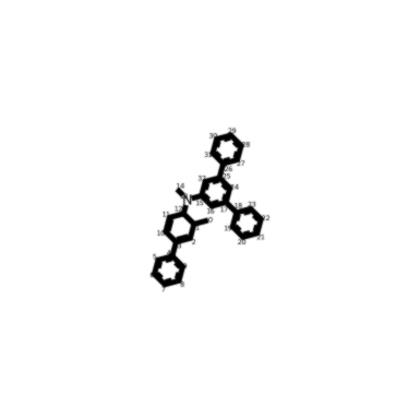 CC1C=C(c2ccccc2)C=CC1N(C)c1cc(-c2ccccc2)cc(-c2ccccc2)c1